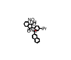 CC(C)c1ccc2c(c1)OC1(O)C3=C(CCC=C3[N+](=O)[O-])C(=O)C21NC(=O)c1ccc2ccccc2c1